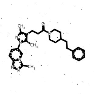 Cc1nn(-c2ccc3nnc(C)n3c2)c(C)c1CCC(=O)N1CCC(CCc2ccccc2)CC1